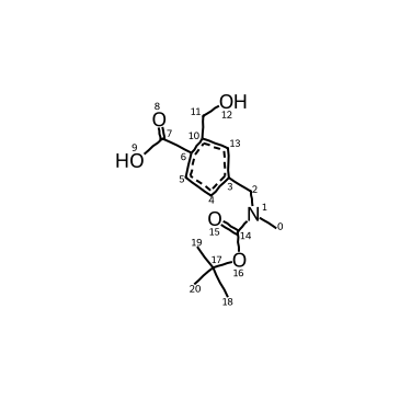 CN(Cc1ccc(C(=O)O)c(CO)c1)C(=O)OC(C)(C)C